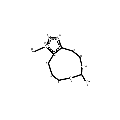 CC(C)C1CCCCc2c(nnn2C(C)C)CCC1